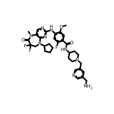 COc1cc(C(=O)NC2CCN(Cc3cncc(CN)c3)CC2)c(F)cc1Nc1ncc2c(n1)N(C1CCCC1)CC(F)(F)C(=O)N2C